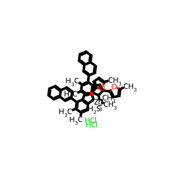 Cc1ccc(C2=Cc3c(cc(C)c(C)c3-c3ccc4ccccc4c3)[CH]2[Zr]([CH3])([CH3])(=[SiH2])[CH]2C(c3ccc(C)o3)=Cc3c2cc(C)c(C)c3-c2ccc3ccccc3c2)o1.Cl.Cl